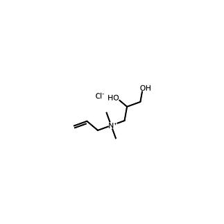 C=CC[N+](C)(C)CC(O)CO.[Cl-]